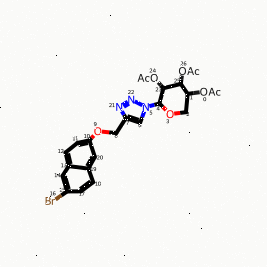 CC(=O)OC1COC(n2cc(COc3ccc4cc(Br)ccc4c3)nn2)C(OC(C)=O)C1OC(C)=O